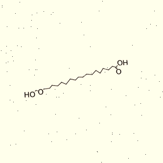 O=C(O)CCCCCCCCCCCCCCCCCOCO